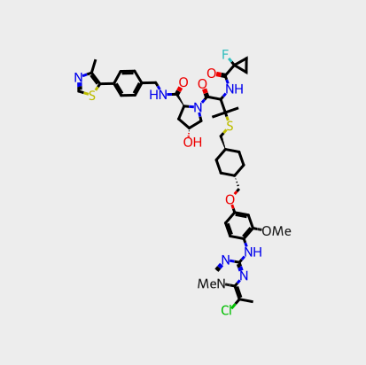 C=N/C(=N\C(NC)=C(/C)Cl)Nc1ccc(OC[C@H]2CC[C@H](CSC(C)(C)C(NC(=O)C3(F)CC3)C(=O)N3C[C@H](O)C[C@H]3C(=O)NCc3ccc(-c4scnc4C)cc3)CC2)cc1OC